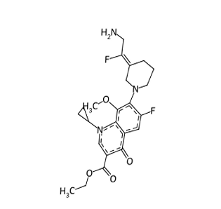 CCOC(=O)c1cn(C2CC2)c2c(OC)c(N3CCCC(=C(F)CN)C3)c(F)cc2c1=O